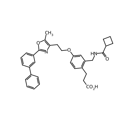 Cc1oc(-c2cccc(-c3ccccc3)c2)nc1CCOc1ccc(CCC(=O)O)c(CNC(=O)C2CCC2)c1